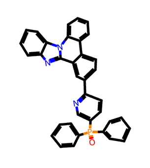 O=P(c1ccccc1)(c1ccccc1)c1ccc(-c2ccc3c4ccccc4n4c5ccccc5nc4c3c2)nc1